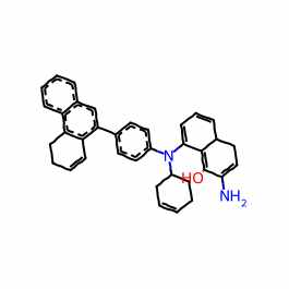 NC1=CCC2C=CC=C(N(c3ccc(-c4cc5ccccc5c5c4C=CCC5)cc3)C3CC=CCC3)C2=C1O